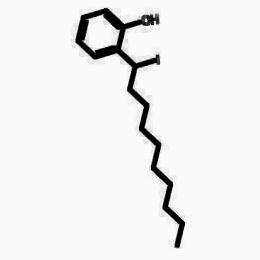 CCCCCCCCCC(I)c1ccccc1O